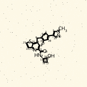 Cn1cc(-c2ccc(Cc3cc(C(=O)N[C@@H]4CC[C@H]4O)nc4ccsc34)c(F)c2)cn1